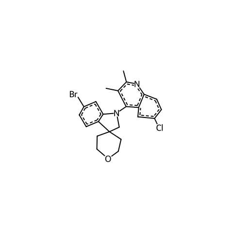 Cc1nc2ccc(Cl)cc2c(N2CC3(CCOCC3)c3ccc(Br)cc32)c1C